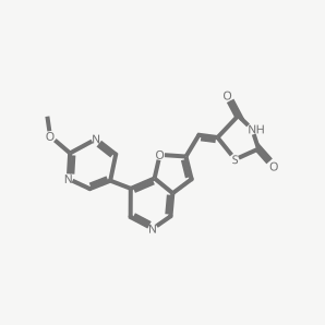 COc1ncc(-c2cncc3cc(/C=C4\SC(=O)NC4=O)oc23)cn1